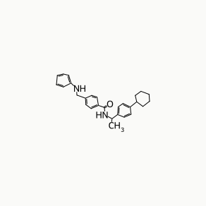 CC(NC(=O)c1ccc(CNc2ccccc2)cc1)c1ccc(C2CCCCC2)cc1